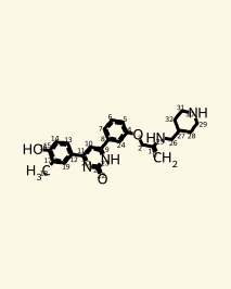 C=C(COc1cccc(-c2cc(-c3ccc(O)c(C)c3)nc(=O)[nH]2)c1)NCC1CCNCC1